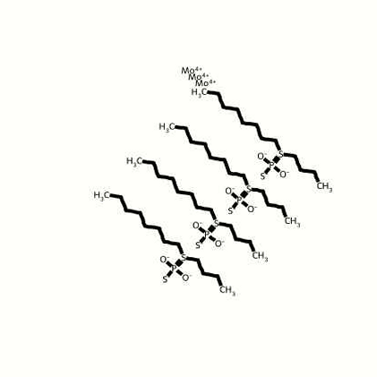 CCCCCCCCS(CCCC)=P([O-])([O-])[S-].CCCCCCCCS(CCCC)=P([O-])([O-])[S-].CCCCCCCCS(CCCC)=P([O-])([O-])[S-].CCCCCCCCS(CCCC)=P([O-])([O-])[S-].[Mo+4].[Mo+4].[Mo+4]